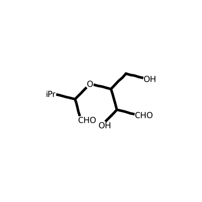 CC(C)C(C=O)OC(CO)C(O)C=O